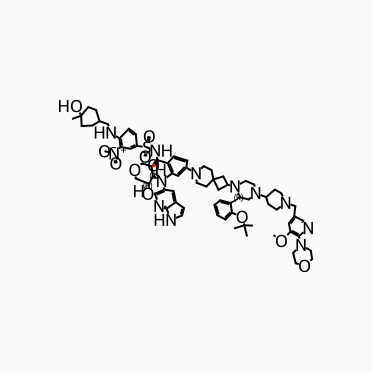 COc1cc(CN2CCC(N3CCN(C4CC5(CCN(c6ccc(C(=O)NS(=O)(=O)c7ccc(NCC8CCC(C)(O)CC8)c([N+](=O)[O-])c7)c(N7c8cc9cc[nH]c9nc8O[C@H]8COCC[C@@H]87)c6)CC5)C4)[C@H](c4ccccc4OC(C)(C)C)C3)CC2)cnc1N1CCOCC1